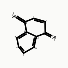 [Se]=C1C=CC(=[Se])c2ccccc21